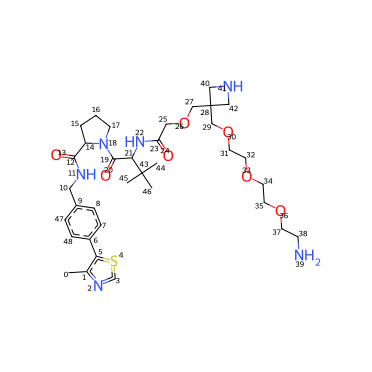 Cc1ncsc1-c1ccc(CNC(=O)C2CCCN2C(=O)C(NC(=O)COCC2(COCCOCCOCCN)CNC2)C(C)(C)C)cc1